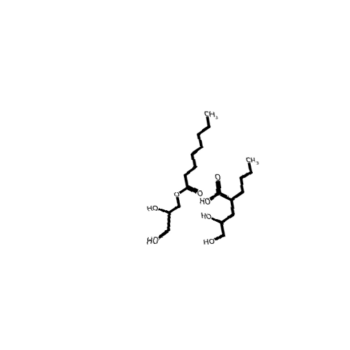 CCCCC(CC(O)CO)C(=O)O.CCCCCCCC(=O)OCC(O)CO